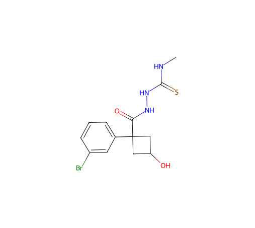 CNC(=S)NNC(=O)C1(c2cccc(Br)c2)CC(O)C1